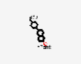 CCCCCOc1ccc2cc(C3CCC(CC(C)CC)CC3)ccc2c1